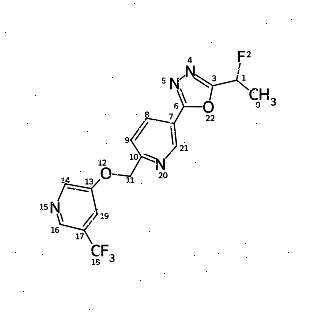 CC(F)c1nnc(-c2ccc(COc3cncc(C(F)(F)F)c3)nc2)o1